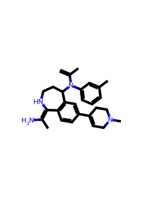 C=C(C)N(c1cccc(C)c1)C1CCN/C(=C(/C)N)c2ccc(C3=CCN(C)CC3)cc21